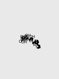 O=P(O)(O)OP(=O)(O)OP(=O)(O)OC[C@H]1O[C@@H](n2cnc3c(-c4cccs4)ccnc32)C[C@@H]1O